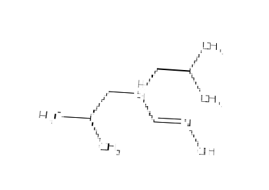 CC(C)C[SiH](C=NO)CC(C)C